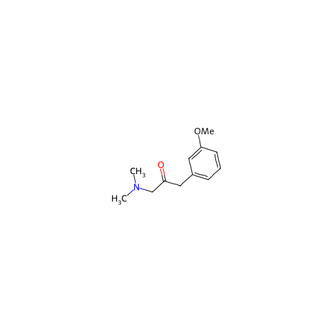 COc1cccc(CC(=O)CN(C)C)c1